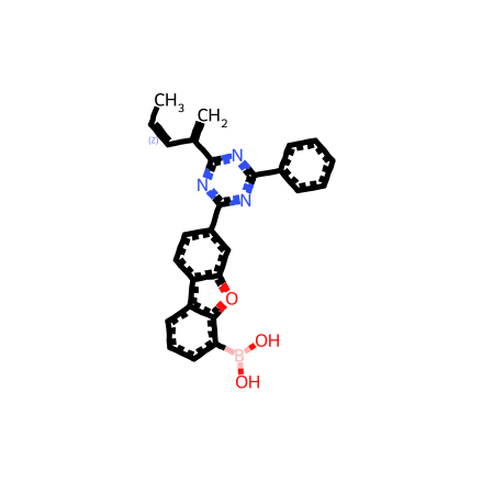 C=C(/C=C\C)c1nc(-c2ccccc2)nc(-c2ccc3c(c2)oc2c(B(O)O)cccc23)n1